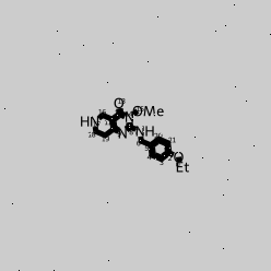 CCOc1ccc(CNc2nc3c(c(=O)n2OC)CNCC3)cc1